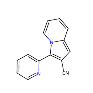 N#Cc1cc2ccccn2c1-c1ccccn1